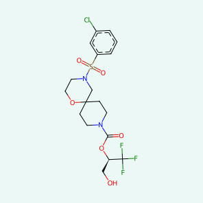 O=C(O[C@H](CO)C(F)(F)F)N1CCC2(CC1)CN(S(=O)(=O)c1cccc(Cl)c1)CCO2